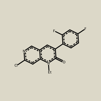 CCn1c(=O)c(-c2ccc(F)cc2F)cc2cnc(Cl)cc21